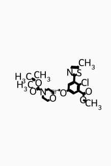 COC(=O)c1cc(OC[C@H]2CN(C(=O)OC(C)(C)C)CCO2)cc(-c2ncc(C)s2)c1Cl